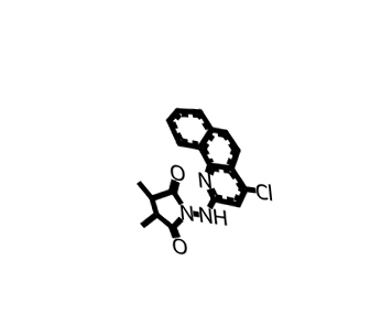 CC1C(=O)N(Nc2cc(Cl)c3ccc4ccccc4c3n2)C(=O)C1C